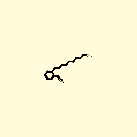 C=Cc1ccccc1CCCCCCCCCC